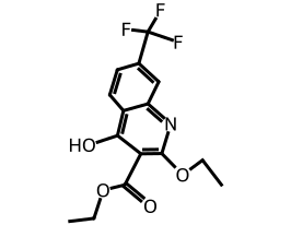 CCOC(=O)c1c(OCC)nc2cc(C(F)(F)F)ccc2c1O